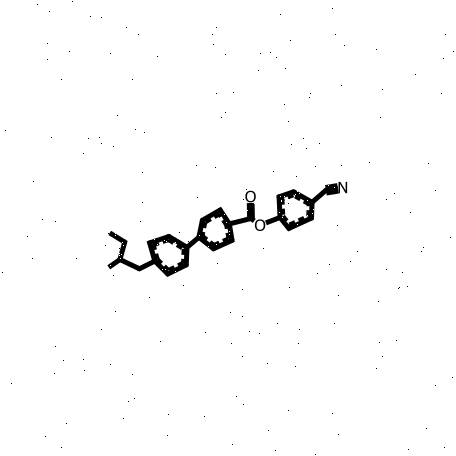 CCC(C)Cc1ccc(-c2ccc(C(=O)Oc3ccc(C#N)cc3)cc2)cc1